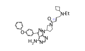 CCN(C/C=C/C(=O)N1CCC(n2nc(-c3ccc(Oc4ccccc4)cc3)c3c(N)ncnc32)C1)C1CCC1